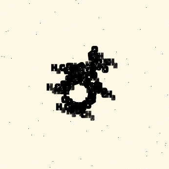 CC[C@H](C)[C@@H]1NC(=O)[C@H](NC(=O)[C@@H](CC(C)C)N(C)C(=O)[C@@H]2CCCN2C(=O)[C@H](C)OC(=O)[C@@H](CCC(N)=O)NC(=O)C2CCC(=O)N2)[C@H](C)OC(=O)[C@H](Cc2ccc(OC)cc2)N(C)C(=O)[C@@H]2CCCN2C(=O)[C@H](CC(C)C)NC(=O)[C@H](C(C)C)OC(=O)C[C@@H]1O